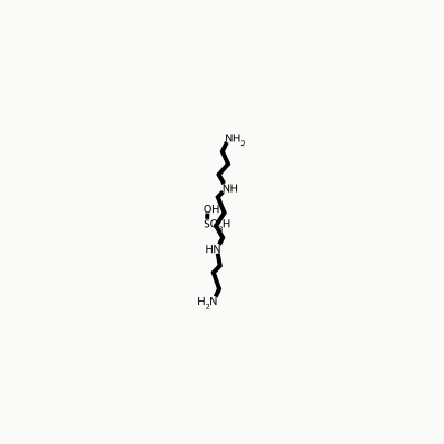 NCCCNCCCCNCCCN.O=S(=O)(O)O